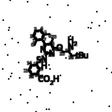 Cc1cccc(C)c1-c1nc(NSc2cccc(C(=O)O)c2)nc(OC[C@H](N)CC(C)(C)C)c1C